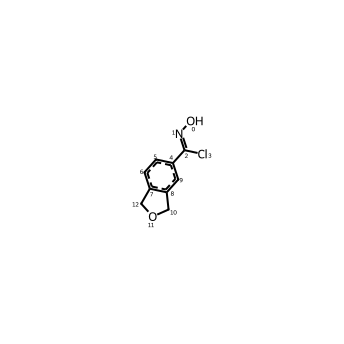 O/N=C(\Cl)c1ccc2c(c1)COC2